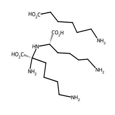 NCCCCCC(=O)O.NCCCC[C@H](N[C@](N)(CCCCN)C(=O)O)C(=O)O